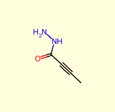 CC#CC(=O)NN